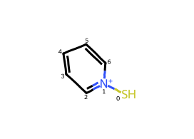 S[n+]1ccccc1